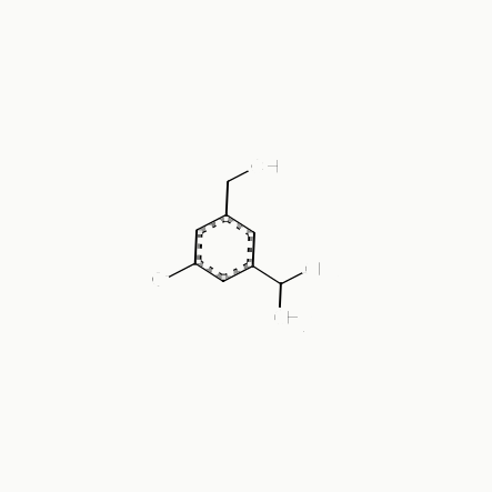 [CH2]C(C)c1cc(Cl)cc(CO)c1